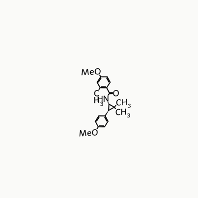 COc1ccc([C@H]2[C@H](NC(=O)c3ccc(OC)cc3C)C2(C)C)cc1